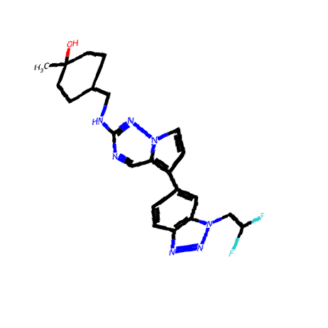 CC1(O)CCC(CNc2ncc3c(-c4ccc5nnn(CC(F)F)c5c4)ccn3n2)CC1